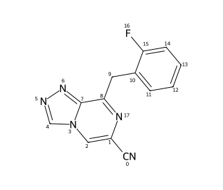 N#Cc1cn2cnnc2c(Cc2ccccc2F)n1